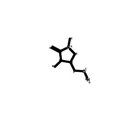 [2H]OCC1CN(C)C(=C)C1C